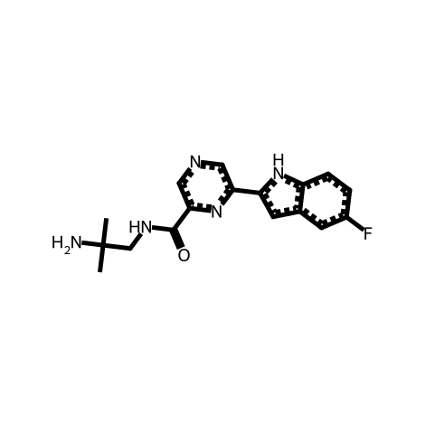 CC(C)(N)CNC(=O)c1cncc(-c2cc3cc(F)ccc3[nH]2)n1